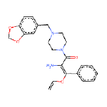 C=CO/C(=C(\N)C(=O)N1CCN(Cc2ccc3c(c2)OCO3)CC1)c1ccccc1